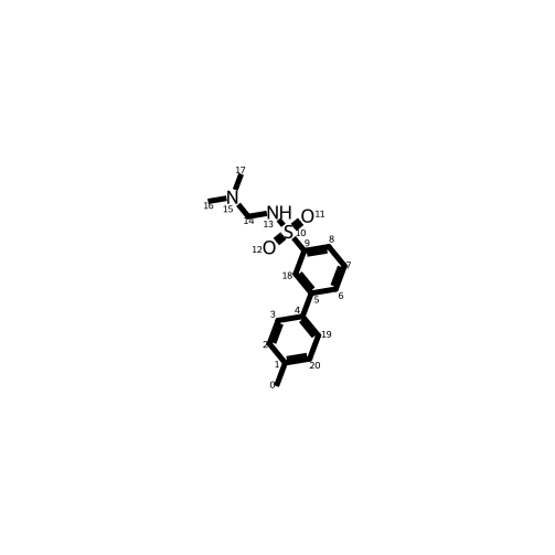 Cc1ccc(-c2cccc(S(=O)(=O)NCN(C)C)c2)cc1